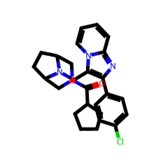 O=C(C1CCCC1)N1CC2CCC(C1)N2Cc1c(-c2ccc(Cl)cc2)nc2ccccn12